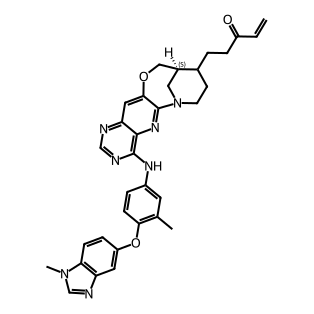 C=CC(=O)CCC1CCN2C[C@H]1COc1cc3ncnc(Nc4ccc(Oc5ccc6c(c5)ncn6C)c(C)c4)c3nc12